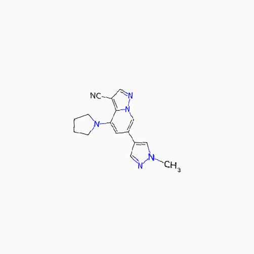 Cn1cc(-c2cc(N3CCCC3)c3c(C#N)cnn3c2)cn1